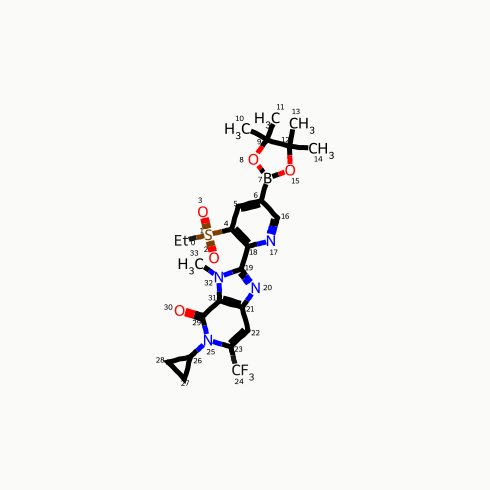 CCS(=O)(=O)c1cc(B2OC(C)(C)C(C)(C)O2)cnc1-c1nc2cc(C(F)(F)F)n(C3CC3)c(=O)c2n1C